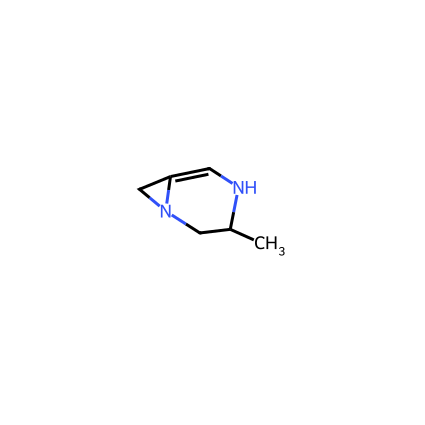 CC1CN2CC2=CN1